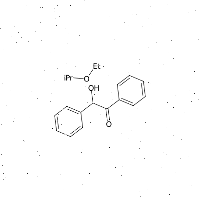 CCOC(C)C.O=C(c1ccccc1)C(O)c1ccccc1